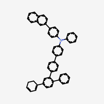 C1=CCCC(c2ccc(-c3ccccc3)c(-c3ccc(-c4ccc(N(c5ccccc5)c5ccc(-c6ccc7ccccc7c6)cc5)cc4)cc3)c2)=C1